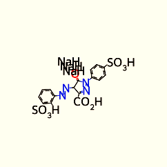 O=C(O)C1=NN(c2ccc(S(=O)(=O)O)cc2)C(=O)C1/N=N/c1ccccc1S(=O)(=O)O.[NaH].[NaH].[NaH]